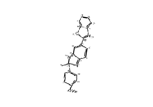 COc1ccc(C2(C)N=c3ccc(-c4nc5ccccc5o4)cc3=N2)cc1